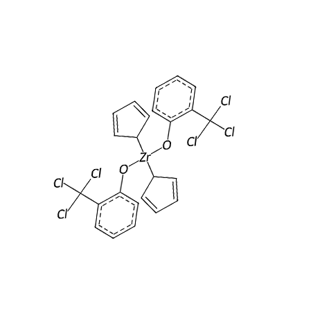 ClC(Cl)(Cl)c1ccccc1[O][Zr]([O]c1ccccc1C(Cl)(Cl)Cl)([CH]1C=CC=C1)[CH]1C=CC=C1